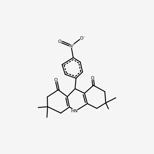 CC1(C)CC(=O)C2=C(C1)NC1=C(C(=O)CC(C)(C)C1)C2c1ccc([N+](=O)[O-])cc1